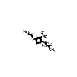 CC(=O)NNc1ccc(SCCO)cc1[N+](=O)[O-]